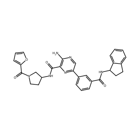 Nc1ncc(-c2cccc(C(=O)NC3CCc4ccccc43)c2)nc1C(=O)NC1CCN(C(=O)c2ccco2)C1